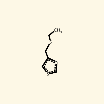 CCSCc1cscn1